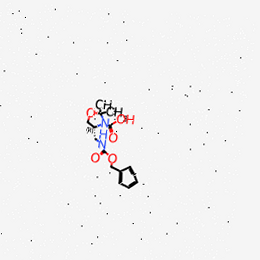 CC1(C)OC[C@@H](CNC(=O)OCc2ccccc2)N1C(=O)O